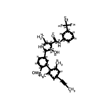 CC#Cc1cc(C)c(-c2cc(-c3[nH]c(C)c(C(=O)Nc4cccc(C(F)(F)CC)c4)[n+]3O)ccc2OC)c(C)c1